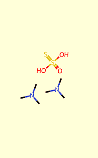 CN(C)C.CN(C)C.O=S(O)(O)=S